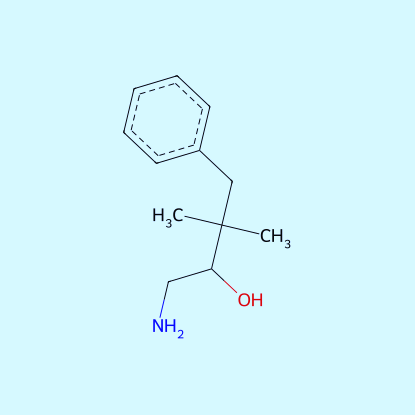 CC(C)(Cc1ccccc1)C(O)CN